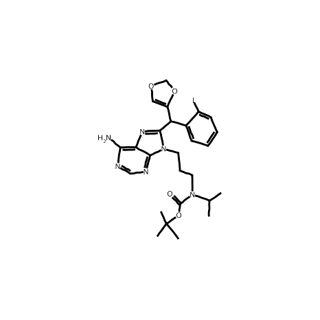 CC(C)N(CCCn1c(C(C2=COCO2)c2ccccc2I)nc2c(N)ncnc21)C(=O)OC(C)(C)C